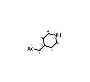 CC(=O)[CH]C1CCNCC1